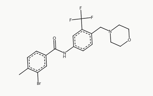 Cc1ccc(C(=O)Nc2ccc(CN3CCOCC3)c(C(F)(F)F)c2)cc1Br